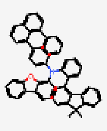 CC1(C)c2ccccc2-c2c(-c3ccccc3N(c3ccc(-c4cccc5cccc(-c6ccccc6)c45)cc3)c3cccc4c3oc3ccccc34)cccc21